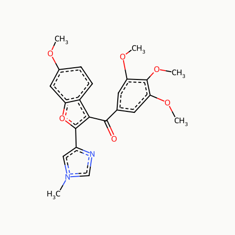 COc1ccc2c(C(=O)c3cc(OC)c(OC)c(OC)c3)c(-c3cn(C)cn3)oc2c1